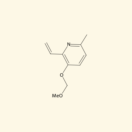 C=Cc1nc(C)ccc1OCOC